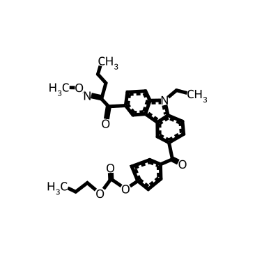 CCCOC(=O)Oc1ccc(C(=O)c2ccc3c(c2)c2cc(C(=O)/C(CCC)=N/OC)ccc2n3CC)cc1